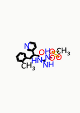 Cc1ccccc1/C=C(/C(=O)NC(=N)NOS(C)(=O)=O)c1cccnc1